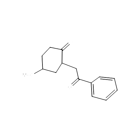 COC1CCC(=O)C(CC(=O)c2ccccc2)C1